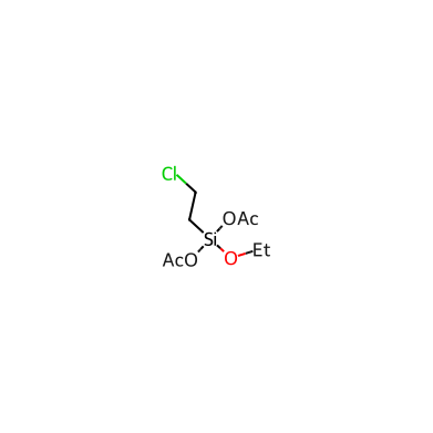 CCO[Si](CCCl)(OC(C)=O)OC(C)=O